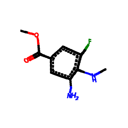 CNc1c(N)cc(C(=O)OC)cc1F